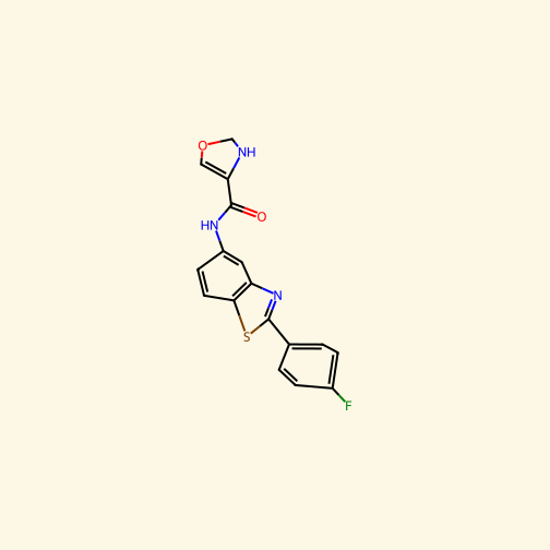 O=C(Nc1ccc2sc(-c3ccc(F)cc3)nc2c1)C1=COCN1